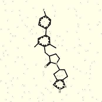 Cc1cc(-c2ccc(F)cc2)cc(C)c1CC1CCN(C2CCc3n[nH]cc3C2)C1=O